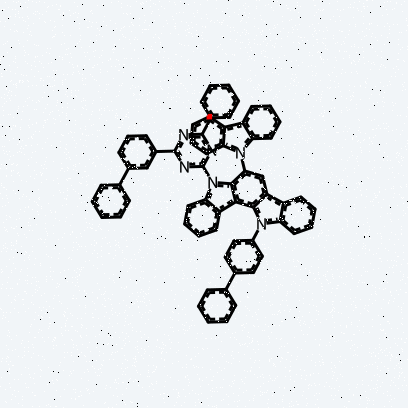 c1ccc(-c2ccc(-n3c4ccccc4c4cc(-n5c6ccccc6c6ccccc65)c5c(c6ccccc6n5-c5nc(-c6ccccc6)nc(-c6cccc(-c7ccccc7)c6)n5)c43)cc2)cc1